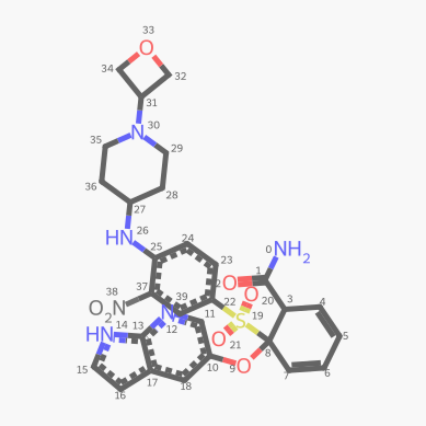 NC(=O)C1C=CC=CC1(Oc1cnc2[nH]ccc2c1)S(=O)(=O)c1ccc(NC2CCN(C3COC3)CC2)c([N+](=O)[O-])c1